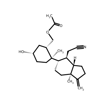 C=C1CC[C@H]2[C@H](CC#N)[C@@H]([C@@]3(C)CC[C@H](O)C[C@@H]3COC(C)=O)CC[C@]12C